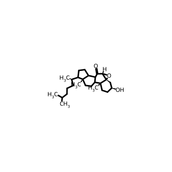 CC(C)CCC[C@H](C)C1CCC2C3C(=O)[C@@H]4O[C@@]45C[C@@H](O)CC[C@]5(C)C3CC[C@@]21C